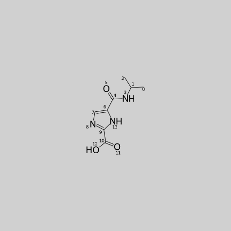 CC(C)NC(=O)c1cnc(C(=O)O)[nH]1